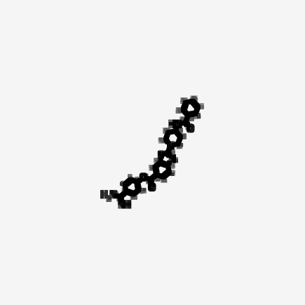 N=C(N)c1ccc(OC(=O)c2ccc3nc(N4CCC(NC(=O)c5ccccc5)CC4)sc3c2)cc1